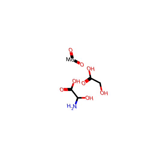 NC(O)C(=O)O.O=C(O)CO.[O]=[Mo]=[O]